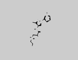 CCN(C(=O)C(C)CS(=O)(=O)CCC(F)(F)F)c1cn(-c2ccc[n+]([O-])c2)nc1Cl